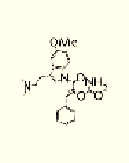 COc1ccc2c(c1)c(CCN(C)C)cn2C(=O)[C@H](Cc1ccccc1)OC(N)=O